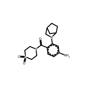 Nc1ccc(C(=O)N2CCS(=O)(=O)CC2)c(N2CC3CCC2C3)c1